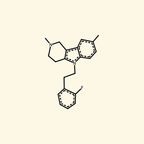 Cc1ccc2c(c1)c1c(n2CCc2ccccc2F)CCN(C)C1